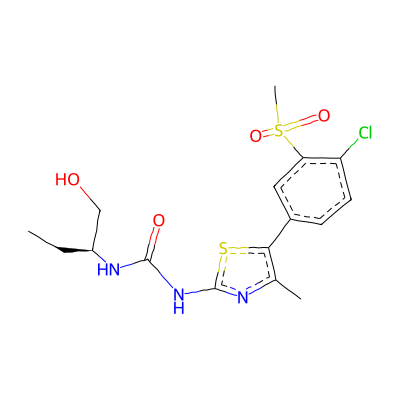 CC[C@@H](CO)NC(=O)Nc1nc(C)c(-c2ccc(Cl)c(S(C)(=O)=O)c2)s1